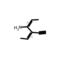 C#CC(=C/C)/C(N)=C\C